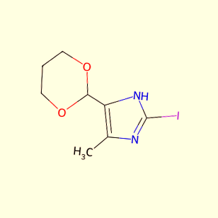 Cc1nc(I)[nH]c1C1OCCCO1